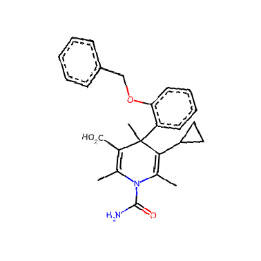 CC1=C(C(=O)O)C(C)(c2ccccc2OCc2ccccc2)C(C2CC2)=C(C)N1C(N)=O